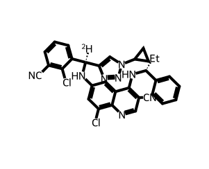 [2H][C@@](Nc1cc(Cl)c2ncc(C#N)c(N[C@H](CC)c3ccccc3)c2c1)(c1cn(C2CC2)nn1)c1cccc(C#N)c1Cl